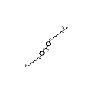 C=CC(=O)OCCCCCCOc1ccc(C(=O)Oc2ccc(OCCCCCCBr)cc2)cc1